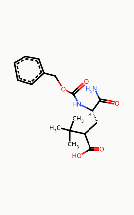 CC(C)(C)C(C[C@H](NC(=O)OCc1ccccc1)C(N)=O)C(=O)O